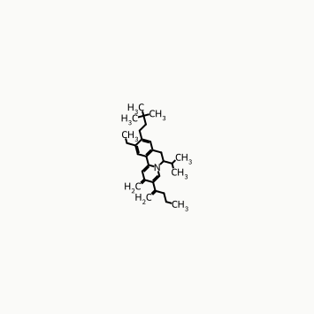 C=C1C=C2c3cc(CC)c(CCC(C)(C)C)cc3CC(C(C)C)N2C=C1C(=C)CCC